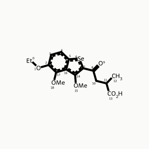 CCOc1ccc2[se]c(C(=O)CC(C)C(=O)O)c(OC)c2c1OC